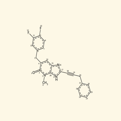 Cn1c(=O)c(Cc2ccc(F)c(F)c2)cc2nc(C#CCc3ccccc3)[nH]c21